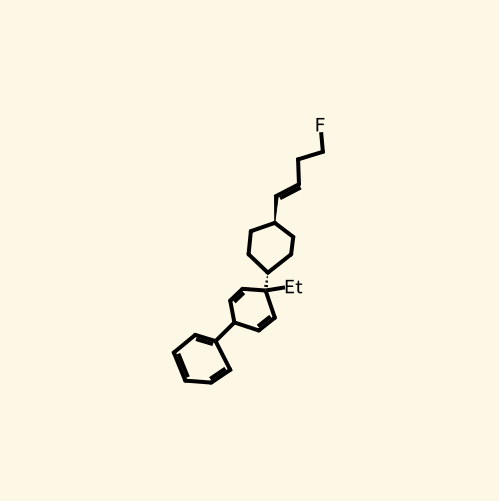 CCC1([C@H]2CC[C@H](/C=C/CCF)CC2)C=CC(c2ccccc2)C=C1